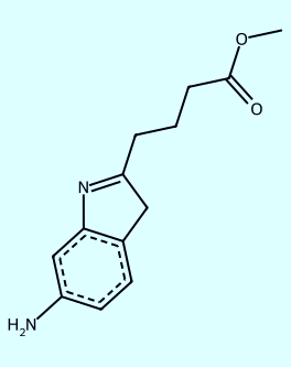 COC(=O)CCCC1=Nc2cc(N)ccc2C1